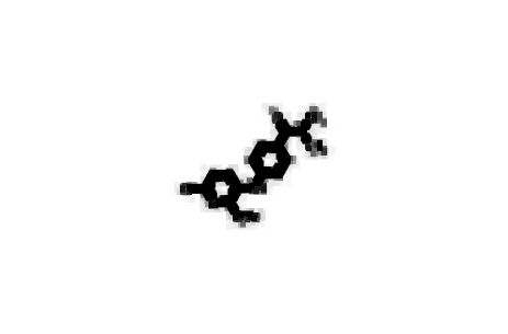 COc1nc(Cl)ccc1Nc1ccc(C(=O)N(C)C)cc1